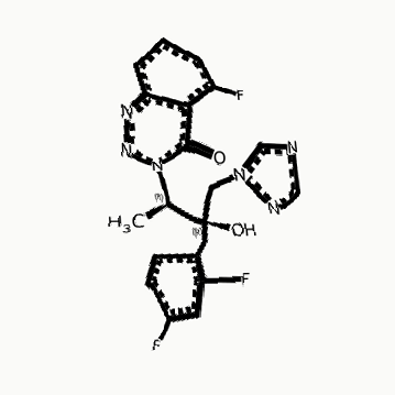 C[C@@H](n1nnc2cccc(F)c2c1=O)[C@](O)(Cn1cncn1)c1ccc(F)cc1F